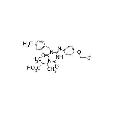 Cc1ccc(Cn2c(=O)n([C@@H](C)[C@@H](C)C(=O)O)c(=O)[nH]/c2=N\c2ccc(OCC3CC3)cc2)cc1